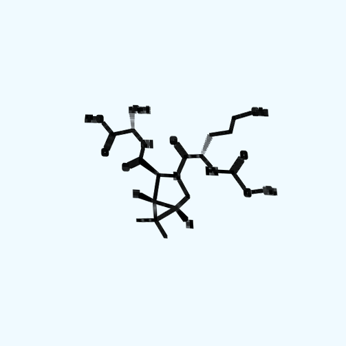 CCCCC[C@H](NC(=O)[C@@H]1[C@@H]2[C@H](CN1C(=O)[C@H](CCCOC(C)=O)NC(=O)OC(C)(C)C)C2(C)C)C(=O)OC